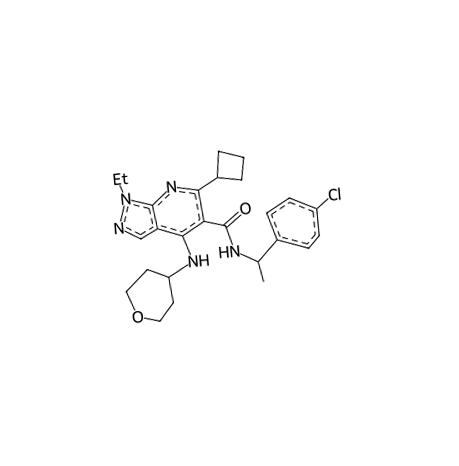 CCn1ncc2c(NC3CCOCC3)c(C(=O)NC(C)c3ccc(Cl)cc3)c(C3CCC3)nc21